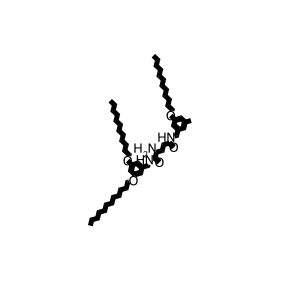 CCCCCCCCCCCCOc1cc(C)cc(CNC(=O)CCC(N)C(=O)NCc2cc(OCCCCCCCCCCCC)cc(OCCCCCCCCCCCC)c2)c1